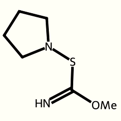 COC(=N)SN1CCCC1